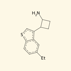 CCc1ccc2scc(C3CCC3N)c2c1